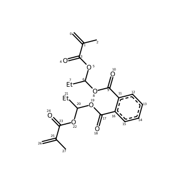 C=C(C)C(=O)OC(CC)OC(=O)c1ccccc1C(=O)OC(CC)OC(=O)C(=C)C